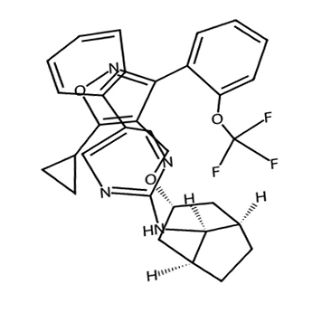 FC(F)(F)Oc1ccccc1-c1noc(C2CC2)c1CO[C@@H]1C[C@H]2CC[C@@H](C1)[C@H]2Nc1ncc(-c2ccccc2)cn1